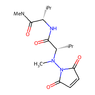 CNC(=O)[C@@H](NC(=O)[C@H](C(C)C)N(C)N1C(=O)C=CC1=O)C(C)C